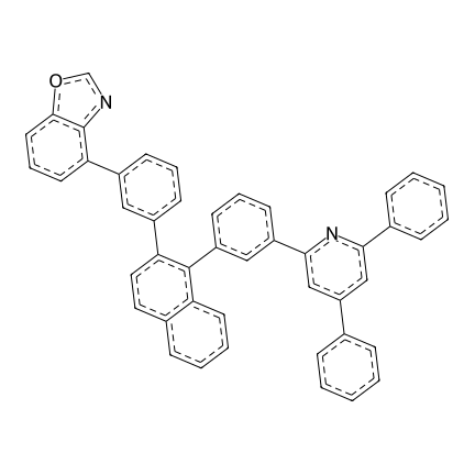 c1ccc(-c2cc(-c3ccccc3)nc(-c3cccc(-c4c(-c5cccc(-c6cccc7ocnc67)c5)ccc5ccccc45)c3)c2)cc1